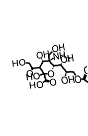 CC(=O)OC[C@@H](O)[C@@H](O)[C@@H]1OC(O)(C(=O)O)C(C(=O)CO)[C@H](O)[C@]1(N)CO